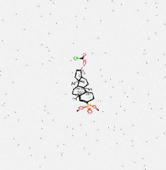 COP(=O)(OC)C1=C[C@@H]2CC[C@@H]3[C@H](CC[C@]4(C)[C@@H](OC(=O)Cl)CC[C@@H]34)[C@@]2(C)CC1